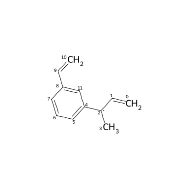 C=C[C](C)c1cccc(C=C)c1